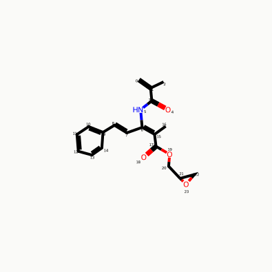 C=C(C)C(=O)NC(C=Cc1ccccc1)=C(C)C(=O)OCC1CO1